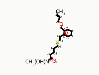 CC=CCOCC1C2CCC(O2)C1CCSCCCCC(=O)N(C)O